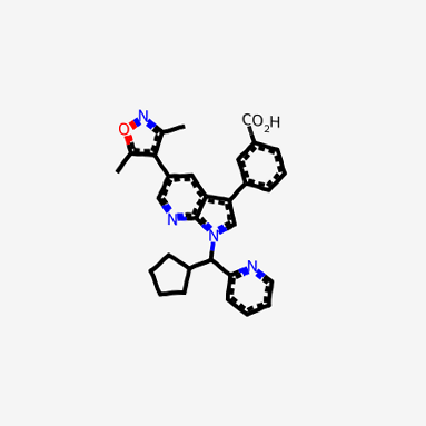 Cc1noc(C)c1-c1cnc2c(c1)c(-c1cccc(C(=O)O)c1)cn2C(c1ccccn1)C1CCCC1